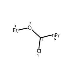 CCCC(Cl)OCC